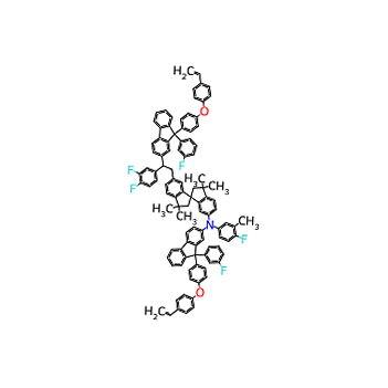 C=Cc1ccc(Oc2ccc(C3(c4cccc(F)c4)c4ccccc4-c4ccc(C(Cc5ccc6c(c5)C5(CC6(C)C)CC(C)(C)c6ccc(N(c7ccc(F)c(C)c7)c7ccc8c(c7)C(c7ccc(Oc9ccc(C=C)cc9)cc7)(c7cccc(F)c7)c7ccccc7-8)cc65)c5ccc(F)c(F)c5)cc43)cc2)cc1